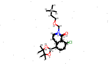 CC1(C)OB(c2ccc(Cl)c3c(=O)n(COCC[Si](C)(C)C)ccc23)OC1(C)C